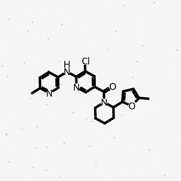 Cc1ccc(Nc2ncc(C(=O)N3CCCCC3c3ccc(C)o3)cc2Cl)cn1